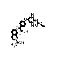 CCOC(=O)N=C1NCC(Oc2ccc(C(Oc3ccc4c(c3)CN(C(=N)N)CC4)C(=O)O)cc2)CN1